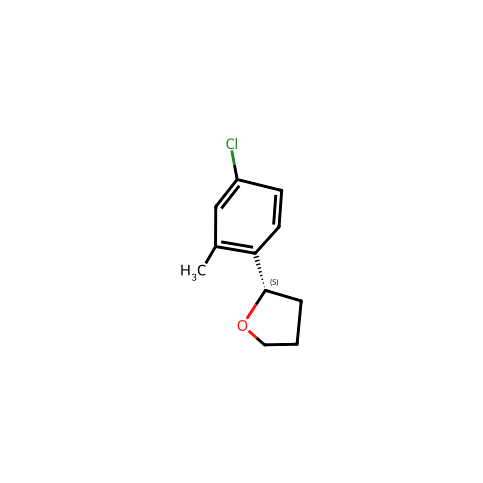 Cc1cc(Cl)ccc1[C@@H]1CCCO1